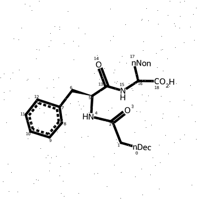 CCCCCCCCCCCC(=O)N[C@@H](Cc1ccccc1)C(=O)NC(CCCCCCCCC)C(=O)O